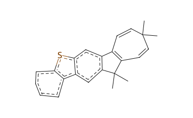 CC1(C)C=CC2=C(C=C1)C(C)(C)c1cc3c(cc12)sc1ccccc13